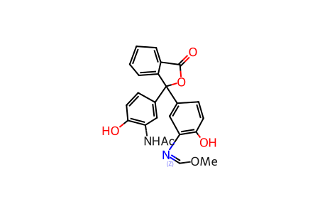 CO/C=N\c1cc(C2(c3ccc(O)c(NC(C)=O)c3)OC(=O)c3ccccc32)ccc1O